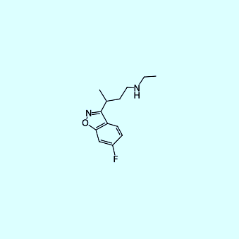 CCNCCC(C)c1noc2cc(F)ccc12